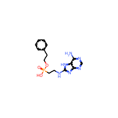 Nc1ncnc2nc(NCCP(=O)(O)OCCc3ccccc3)[nH]c12